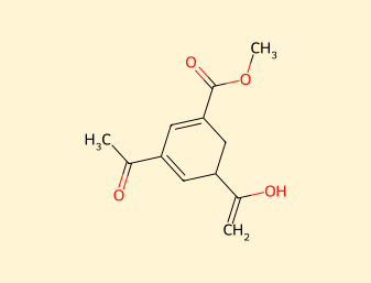 C=C(O)C1C=C(C(C)=O)C=C(C(=O)OC)C1